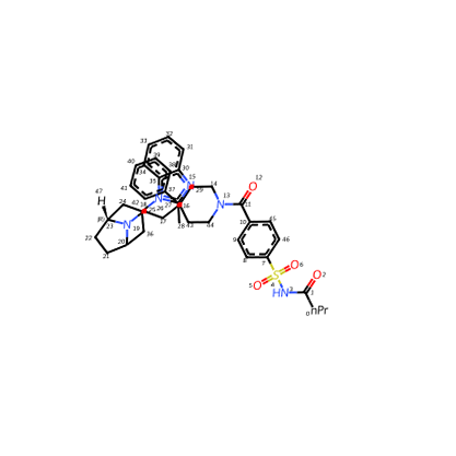 CCCC(=O)NS(=O)(=O)c1ccc(C(=O)N2CCC(CCN3C4CC[C@@H]3CC(n3c(C)nc5ccccc53)C4)(c3ccccc3)CC2)cc1